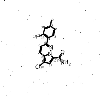 Cc1ccc(-c2ccc3c(Cl)cc(C(N)=O)n3n2)c(F)c1